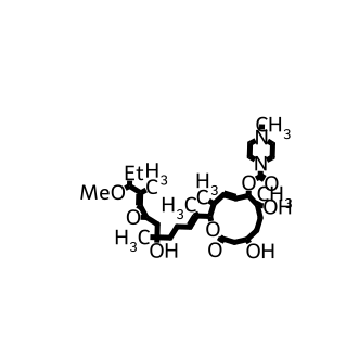 CCC(OC)C(C)=C1OC1CC(C)(O)CC/C=C(\C)C1OC(=O)CC(O)CCC(C)(O)C(OC(=O)N2CCN(C)CC2)/C=C/C1C